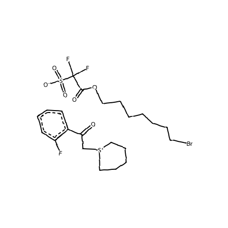 O=C(C[S+]1CCCCC1)c1ccccc1F.O=C(OCCCCCCCBr)C(F)(F)S(=O)(=O)[O-]